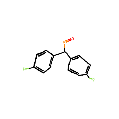 O=PC(c1ccc(F)cc1)c1ccc(F)cc1